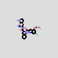 COc1cc(Cl)cc2[nH]c(C(=O)N3CC4(CCCCC4)CC3C(=O)N[C@H](C#N)C[C@@H]3CCCNC3=O)cc12